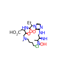 CCC(C(=O)NC(CC(=O)O)C(=O)CN(C)CCCCCl)n1ccnc(NCC(=N)/C(C)=N\O)c1=O